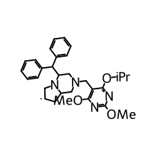 COc1nc(OC)c(CN2CC3C[CH]CN3C(C(c3ccccc3)c3ccccc3)C2)c(OC(C)C)n1